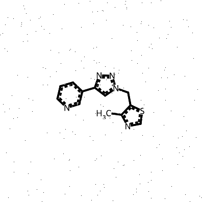 Cc1ncsc1Cn1cc(-c2cccnc2)nn1